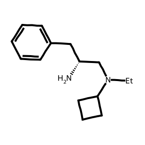 CCN(C[C@H](N)Cc1ccccc1)C1CCC1